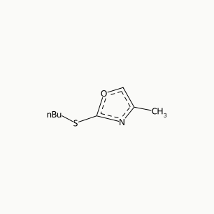 CCCCSc1nc(C)co1